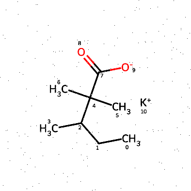 CCC(C)C(C)(C)C(=O)[O-].[K+]